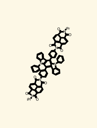 CC(C)N1C(=O)c2ccc3c4c(ccc(c24)C1=O)C(=O)N(c1ccc(-c2c4c5ccccc5n(-c5ccccc5)c4c(-c4ccc(N5C(=O)C6=CC=C7C(=O)N(C(C)C)C(=O)C8C=CC(=C6C78)C5=O)cc4)c4c5ccccc5n(-c5ccccc5)c24)cc1)C3=O